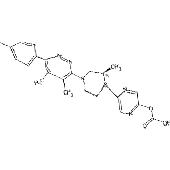 Cc1c(-c2ccc(F)cc2)nnc(N2CCN(c3cnc(OC(=O)O)cn3)[C@H](C)C2)c1C